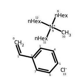 C=Cc1ccccc1.CCCCCC[N+](C)(CCCCCC)CCCCCC.[Cl-]